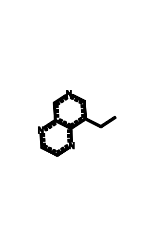 CCc1cncc2nccnc12